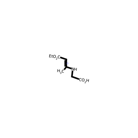 CCOC(=O)/C=C(\C)NCC(=O)O